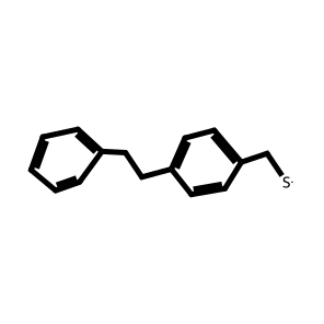 [S]Cc1ccc(CCc2ccccc2)cc1